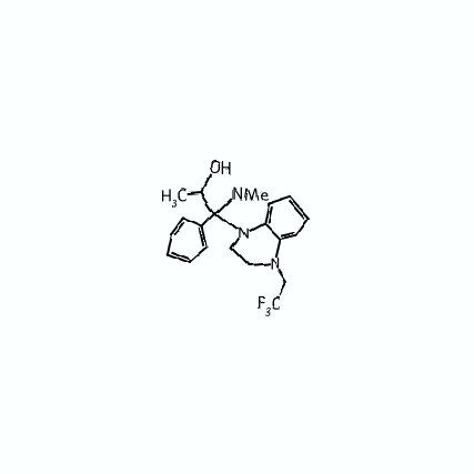 CNC(c1ccccc1)(C(C)O)N1CCN(CC(F)(F)F)c2ccccc21